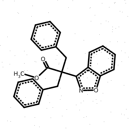 COC(=O)C(Cc1ccccc1)(Cc1ccccc1)c1noc2ccccc12